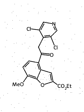 CCOC(=O)c1cc2c(C(=O)Cc3c(Cl)cncc3Cl)ccc(OC)c2o1